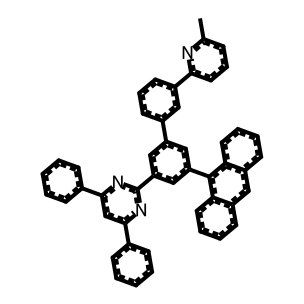 Cc1cccc(-c2cccc(-c3cc(-c4nc(-c5ccccc5)cc(-c5ccccc5)n4)cc(-c4c5ccccc5cc5ccccc45)c3)c2)n1